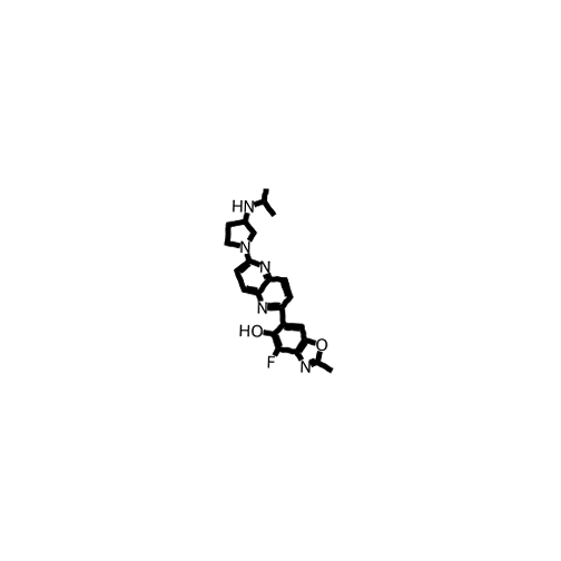 Cc1nc2c(F)c(O)c(-c3ccc4nc(N5CCC(NC(C)C)C5)ccc4n3)cc2o1